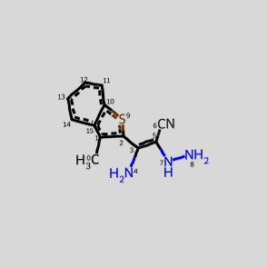 Cc1c(/C(N)=C(\C#N)NN)sc2ccccc12